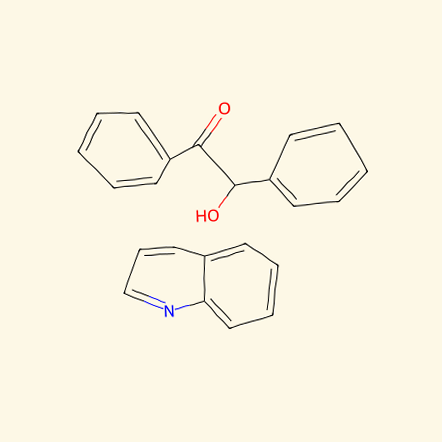 O=C(c1ccccc1)C(O)c1ccccc1.c1ccc2ncccc2c1